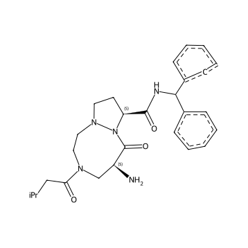 CC(C)CC(=O)N1CCN2CC[C@@H](C(=O)NC(c3ccccc3)c3ccccc3)N2C(=O)[C@@H](N)C1